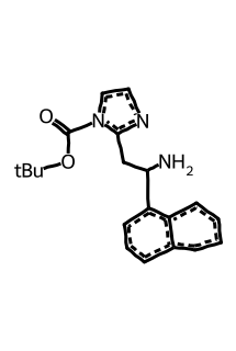 CC(C)(C)OC(=O)n1ccnc1CC(N)c1cccc2ccccc12